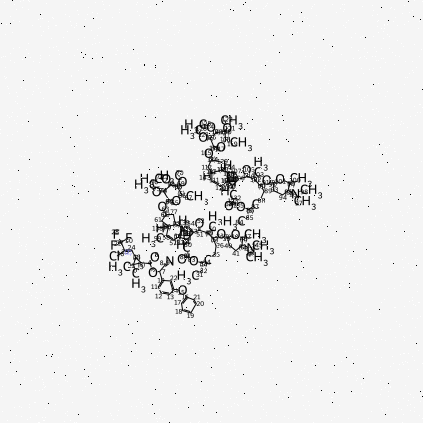 CC1(C)[C@H](C(=O)OC(C#N)c2cccc(Oc3ccccc3)c2)[C@@H]1/C=C(\Cl)C(F)(F)F.CC[C@H]1CCC[C@H](O[C@H]2CC[C@H](N(C)C)[C@@H](C)O2)[C@@H](C)C(=O)C2=C[C@@H]3[C@@H](C=C(C)[C@@H]4C[C@@H](O[C@@H]5O[C@@H](C)[C@H](OC)[C@@H](OC)[C@H]5OC)C[C@@H]34)[C@@H]2CC(=O)O1.CC[C@H]1CCC[C@H](O[C@H]2CC[C@H](N(C)C)[C@@H](C)O2)[C@@H](C)C(=O)C2=C[C@@H]3[C@@H](C=C[C@@H]4C[C@@H](O[C@@H]5O[C@@H](C)[C@H](OC)[C@@H](OC)[C@H]5OC)C[C@@H]34)[C@@H]2CC(=O)O1